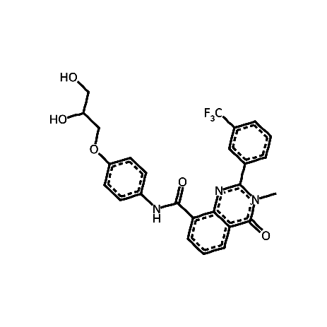 Cn1c(-c2cccc(C(F)(F)F)c2)nc2c(C(=O)Nc3ccc(OCC(O)CO)cc3)cccc2c1=O